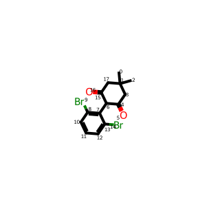 CC1(C)CC(=O)C(c2c(Br)cccc2Br)C(=O)C1